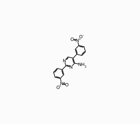 Nc1nc(-c2cccc([N+](=O)[O-])c2)ncc1-c1cccc([N+](=O)[O-])c1